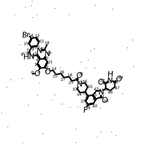 COc1cc2c(N[C@H](C)c3cccc(Br)c3)nc(C)nc2cc1OCCCCCCC(=O)N1CCC(c2cc(F)cc3c2CN(C2CCC(=O)NC2=O)C3=O)CC1